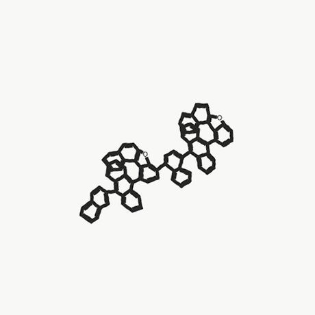 c1ccc2cc(-c3c4ccccc4c(-c4ccc(-c5ccc(-c6c7ccccc7c(-c7cccc8oc9ccc%10ccccc%10c9c78)c7ccccc67)c6ccccc56)c5oc6ccc7ccccc7c6c45)c4ccccc34)ccc2c1